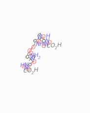 Cc1c(-c2cccc(CCOCCOCCc3cccc(-c4c(C)c(C(=O)c5ccc6c(=O)n(CC(=O)O)c(=O)[nH]c6c5)n5ccccc45)c3C(N)=O)c2C(N)=O)c2ccccn2c1C(=O)c1ccc2c(=O)n(CC(=O)O)c(=O)[nH]c2c1